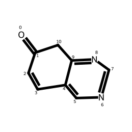 O=C1C=Cc2cncnc2C1